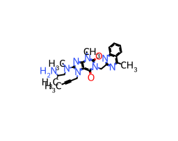 CC#CCn1c(N(C)C[C@@H](C)N)nc2c1c(=O)n(Cc1nc(C)c3ccccc3n1)c(=O)n2C